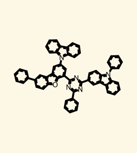 c1ccc(-c2ccc3oc4c(-c5nc(-c6ccccc6)nc(-c6ccc7c(c6)c6ccccc6n7-c6ccccc6)n5)cc(-n5c6ccccc6c6ccccc65)cc4c3c2)cc1